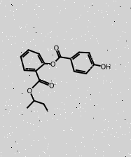 CCC(C)OC(=O)c1ccccc1OC(=O)c1ccc(O)cc1